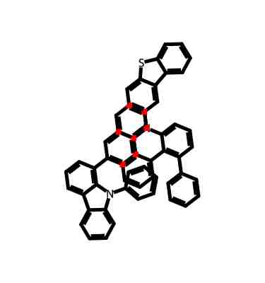 c1ccc(-c2ccccc2-c2c(-c3ccccc3)cccc2N(c2ccc(-c3cccc4c5ccccc5n(-c5ccccc5)c34)cc2)c2ccc3sc4ccccc4c3c2)cc1